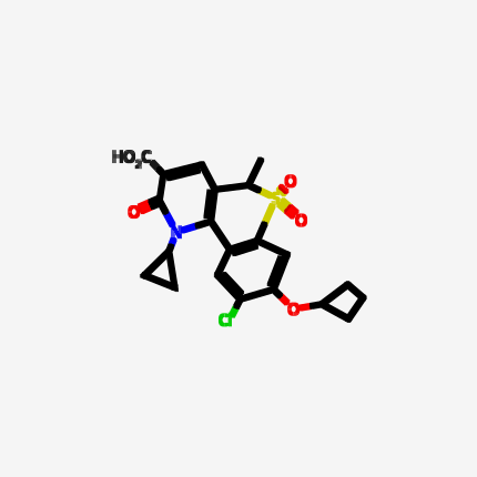 CC1c2cc(C(=O)O)c(=O)n(C3CC3)c2-c2cc(Cl)c(OC3CCC3)cc2S1(=O)=O